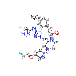 C/C(N)=N/N(N)Cc1cc(C#N)ccc1/C=C/C(=O)N1CCN(Cc2ccc(OCCF)cn2)CC1